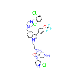 CN(c1ccnc(Cl)c1)C1(C(=O)NCCCn2cc(-c3ccc(OC(F)(F)F)cc3)c3cc(CN4CCN(Cc5c(Cl)cccc5Cl)CC4)ccc32)CCNCC1